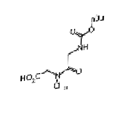 CCCCOC(=O)NCC(=O)N(C)CC(=O)O